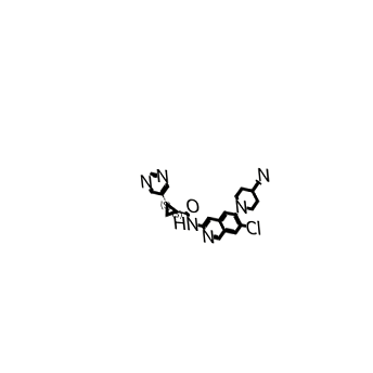 N#CC1CCN(c2cc3cc(NC(=O)[C@H]4C[C@@H]4c4cncnc4)ncc3cc2Cl)CC1